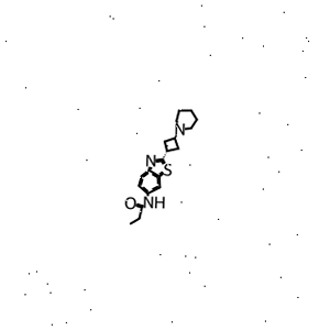 CCC(=O)Nc1ccc2nc([C@H]3C[C@H](N4CCCCC4)C3)sc2c1